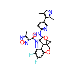 CC1=NCC(C)=C1c1ccc(NC(=O)[C@@H](NC(=O)c2nonc2C)C2c3cc(F)c(F)cc3OCC23CC3)nc1